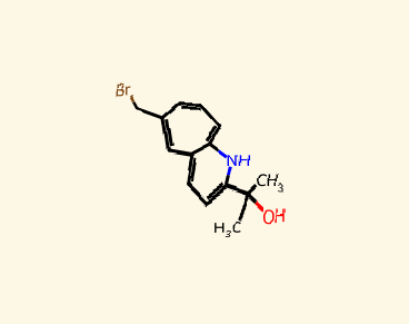 CC(C)(O)C1=CC=C2C=C(CBr)C=CC=C2N1